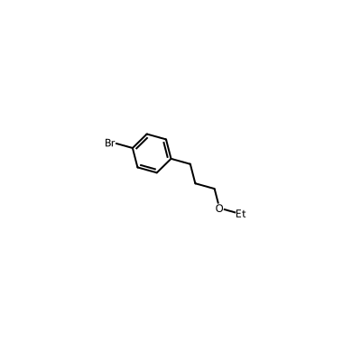 CCOCCCc1ccc(Br)cc1